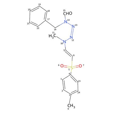 Cc1ccc(S(=O)(=O)/C=C/N(C)/N=N\N(C=O)Cc2ccccc2)cc1